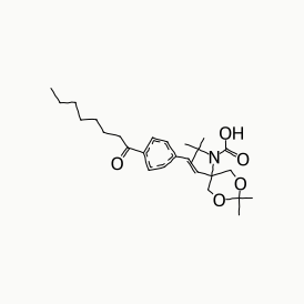 CCCCCCCC(=O)c1ccc(C=CC2(N(C(=O)O)C(C)(C)C)COC(C)(C)OC2)cc1